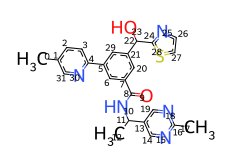 Cc1ccc(-c2cc(C(=O)NC(C)c3cnc(C)nc3)cc(C(O)c3nccs3)c2)nc1